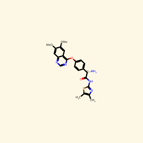 COc1cc2ncnc(Oc3ccc([C@H](N)C(=O)Nc4nc(C)c(C)s4)cc3)c2cc1OC